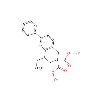 CC(C)OC(=O)C1(C(=O)OC(C)C)Cc2ccc(-c3ccccc3)cc2C(CC(=O)O)C1